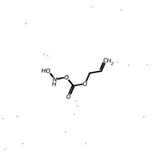 C=CCOC(=O)ONO